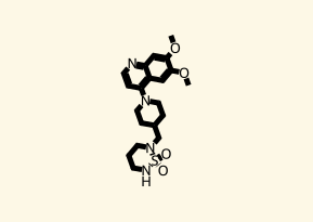 COc1cc2nccc(N3CCC(CN4CCCNS4(=O)=O)CC3)c2cc1OC